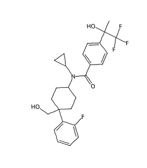 CC(O)(c1ccc(C(=O)N(C2CC2)C2CCC(CO)(c3ccccc3F)CC2)cc1)C(F)(F)F